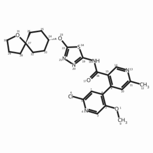 COc1cnc(Cl)cc1-c1cc(C)ncc1C(=O)Nc1nnc(O[C@H]2CC[C@]3(CCCO3)CC2)s1